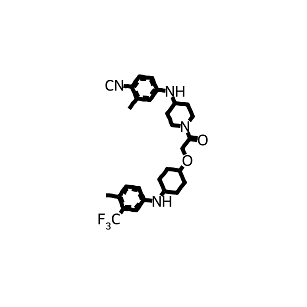 [C-]#[N+]c1ccc(NC2CCN(C(=O)COC3CCC(Nc4ccc(C)c(C(F)(F)F)c4)CC3)CC2)cc1C